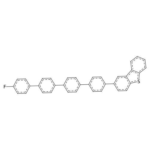 Fc1ccc(-c2ccc(-c3ccc(-c4ccc(-c5ccc6sc7ccccc7c6c5)cc4)cc3)cc2)cc1